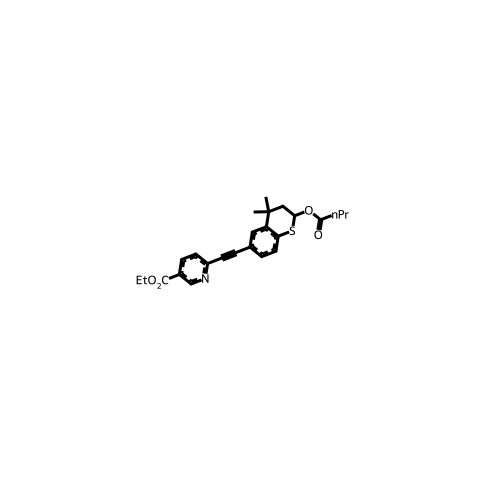 CCCC(=O)OC1CC(C)(C)c2cc(C#Cc3ccc(C(=O)OCC)cn3)ccc2S1